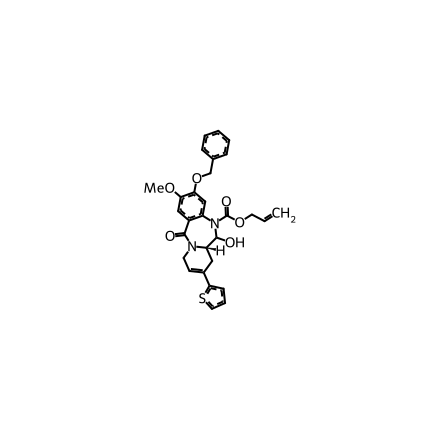 C=CCOC(=O)N1c2cc(OCc3ccccc3)c(OC)cc2C(=O)N2CC=C(c3cccs3)C[C@H]2C1O